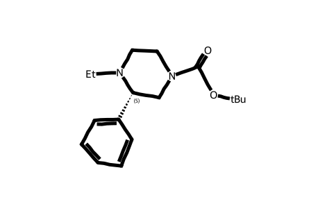 CCN1CCN(C(=O)OC(C)(C)C)C[C@@H]1c1ccccc1